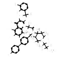 [2H]c1c(C)c([2H])c2c(c1[2H])c(=O)c([2H])c(SC([2H])([2H])c1cccc(F)c1F)n2C([2H])([2H])C(=O)N(C([2H])([2H])c1ccc(-c2ccc(C(F)(F)F)cc2)cc1)C1([2H])C([2H])([2H])C([2H])([2H])N(C([2H])([2H])C([2H])([2H])OC)C([2H])([2H])C1([2H])[2H]